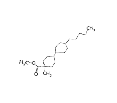 CCCCCC1CCC(C2CCC(C)(C(=O)OC)CC2)CC1